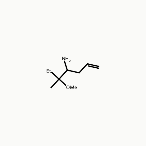 C=CCC(N)C(C)(CC)OC